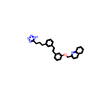 C(=Cc1cccc(OCc2ccc3ccccc3n2)c1)c1cccc(CCCc2nnn[nH]2)c1